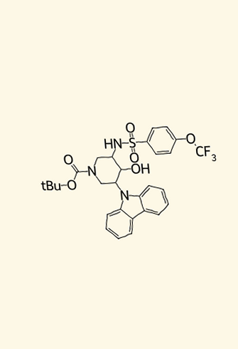 CC(C)(C)OC(=O)N1CC(NS(=O)(=O)c2ccc(OC(F)(F)F)cc2)C(O)C(n2c3ccccc3c3ccccc32)C1